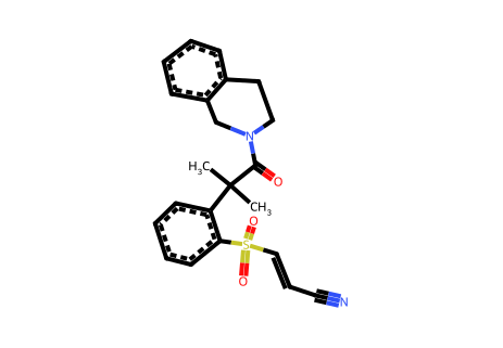 CC(C)(C(=O)N1CCc2ccccc2C1)c1ccccc1S(=O)(=O)/C=C/C#N